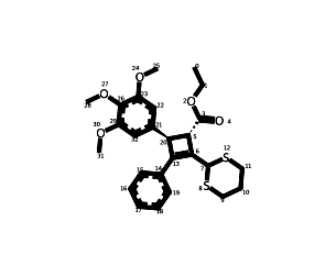 CCOC(=O)[C@@H]1C(C2SCCCS2)=C(c2ccccc2)[C@H]1c1cc(OC)c(OC)c(OC)c1